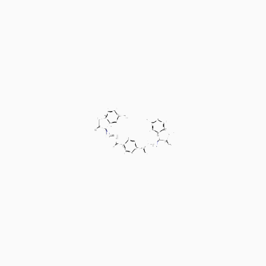 Cc1ccc2c(c1)/C(=N\CC(=O)c1ccc(C(=O)N/N=C3/C(=O)Cc4ccc(C)cc43)cc1)C(=O)C2